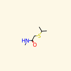 CNC(=O)CSC(C)C